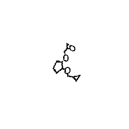 C1CC(OCC2CC2)C(OCC2CO2)C1